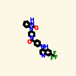 O=C(c1ccc(Nc2ccnc3cc(C(F)(F)F)ccc23)cc1)N1CCC(n2c(=O)[nH]c3ccccc32)CC1